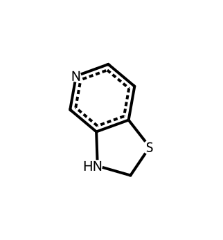 c1cc2c(cn1)NCS2